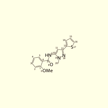 COc1ccccc1C(=O)Nc1cc(-c2cccs2)nn1C